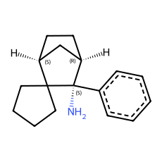 N[C@@]1(c2ccccc2)[C@@H]2CC[C@@H](C2)C12CCCC2